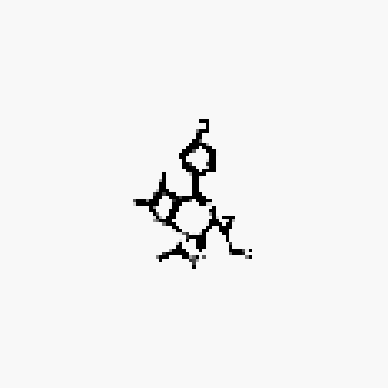 Cc1sc2c(c1C)C(c1ccc(Cl)cc1)=N[C@]1(C[C@H]1C=O)c1nnc(C)n1-2